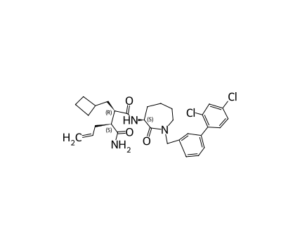 C=CC[C@H](C(N)=O)[C@@H](CC1CCC1)C(=O)N[C@H]1CCCCN(Cc2cccc(-c3ccc(Cl)cc3Cl)c2)C1=O